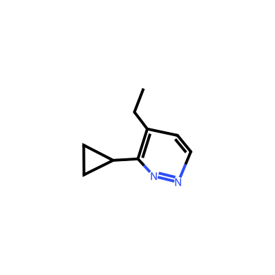 CCc1ccnnc1C1CC1